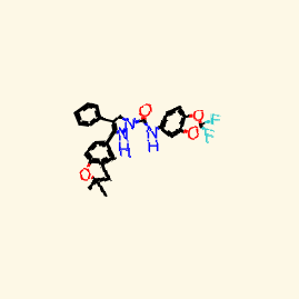 CC1(C)Cc2cc(C3=C(c4ccccc4)CN(C(=O)Nc4ccc5c(c4)OC(F)(F)O5)N3)ccc2O1